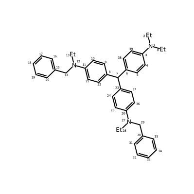 CCN(CC)c1ccc(C(c2ccc(N(CC)Cc3ccccc3)cc2)c2ccc(N(CC)Cc3ccccc3)cc2)cc1